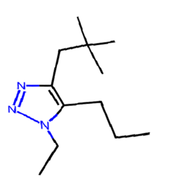 CCCc1c(CC(C)(C)C)nnn1CC